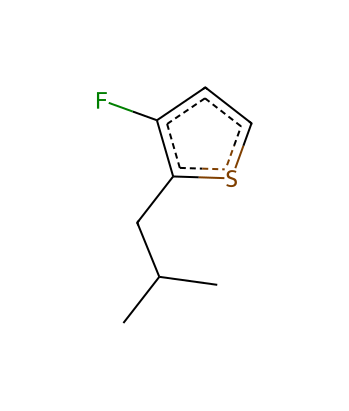 CC(C)Cc1sccc1F